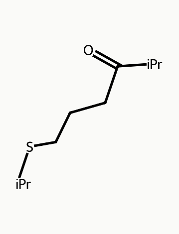 CC(C)SCCCC(=O)C(C)C